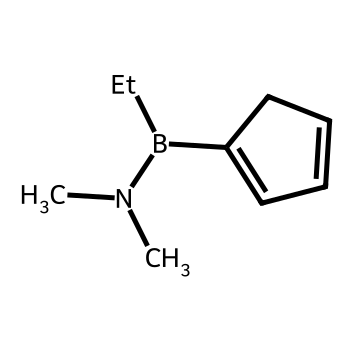 CCB(C1=CC=CC1)N(C)C